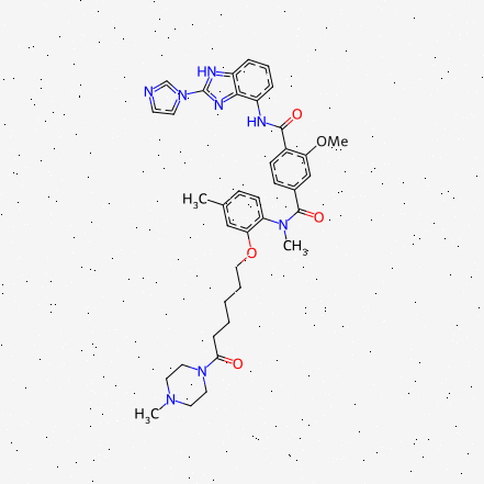 COc1cc(C(=O)N(C)c2ccc(C)cc2OCCCCCC(=O)N2CCN(C)CC2)ccc1C(=O)Nc1cccc2[nH]c(-n3ccnc3)nc12